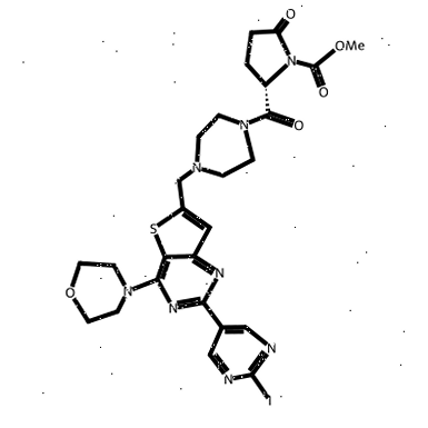 COC(=O)N1C(=O)CC[C@H]1C(=O)N1CCN(Cc2cc3nc(-c4cnc(I)nc4)nc(N4CCOCC4)c3s2)CC1